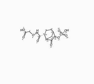 O=C(O)CONC(=O)[C@@H]1CCC2CN1C(=O)N2OS(=O)(=O)O